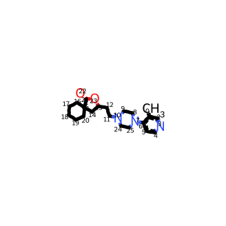 Cc1cnccc1N1CCN(CCC2CC3(CCCCC3)C(=O)O2)CC1